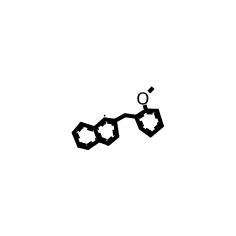 COc1ccccc1Cc1[c]c2ccccc2cc1